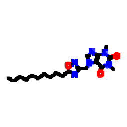 CCCCCCCCCCc1nc(Cn2cnc3c2c(=O)n(C)c(=O)n3C)no1